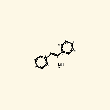 C(=C\c1ccccc1)/c1ccccc1.[LiH]